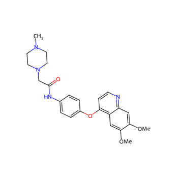 COc1cc2nccc(Oc3ccc(NC(=O)CN4CCN(C)CC4)cc3)c2cc1OC